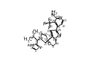 CC(C)C(c1ncc[nH]1)N1CC[C@]2(C1)OCCn1nc(-c3ccnc(N)c3C(F)(F)F)cc12